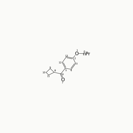 [CH2]CCOc1ccc(C(=O)C2CCC2)cc1